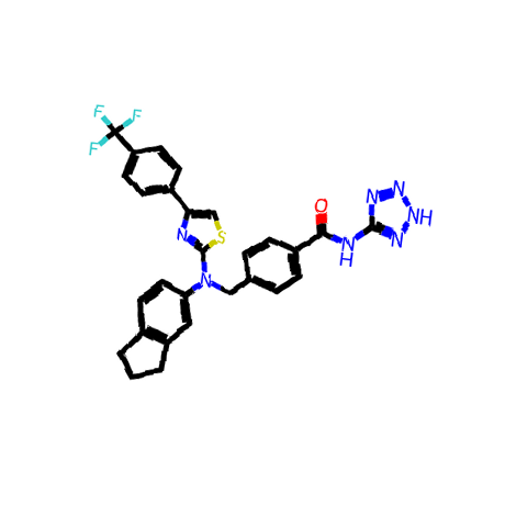 O=C(Nc1nn[nH]n1)c1ccc(CN(c2ccc3c(c2)CCC3)c2nc(-c3ccc(C(F)(F)F)cc3)cs2)cc1